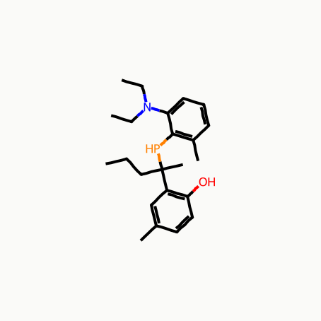 CCCC(C)(Pc1c(C)cccc1N(CC)CC)c1cc(C)ccc1O